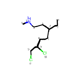 CCC(CCNC)CCC(Cl)CCl